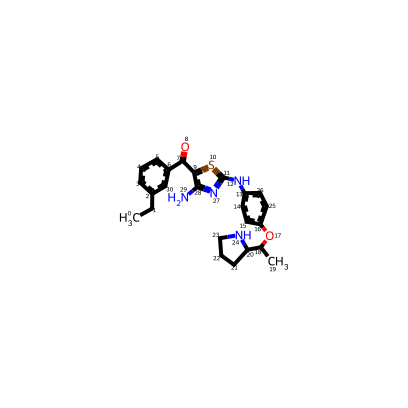 CCc1cccc(C(=O)c2sc(Nc3ccc(OC(C)C4CCCN4)cc3)nc2N)c1